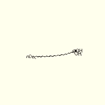 CCCCCCCCCCCCCCCCCCCCCCCCCCCCCCCCOP(O)O